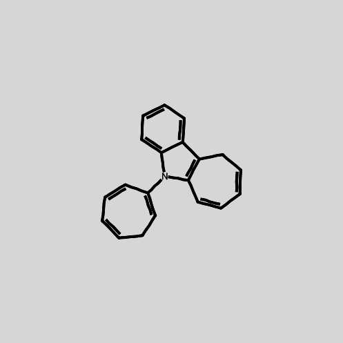 C1=CCC=C(n2c3c(c4ccccc42)CC=CC=C3)C=C1